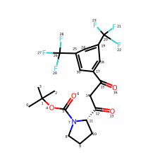 CC(C)(C)OC(=O)N1CCC[C@H]1C(=O)CC(=O)c1cc(C(F)(F)F)cc(C(F)(F)F)c1